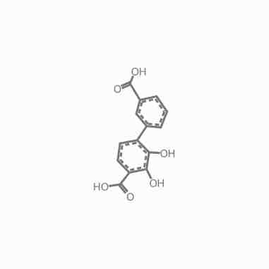 O=C(O)c1cccc(-c2ccc(C(=O)O)c(O)c2O)c1